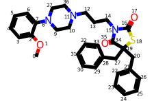 COc1ccccc1N1CCN(CCCN2C(=O)SC(Cc3ccccc3)(Cc3ccccc3)C2=O)CC1